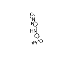 CCCC(=O)c1ccc(NCc2ccc(N3CCOCC3)nc2)cc1